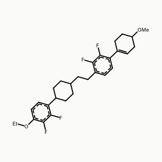 CCOc1ccc(C2CCC(CCc3ccc(C4=CCC(OC)CC4)c(F)c3F)CC2)c(F)c1F